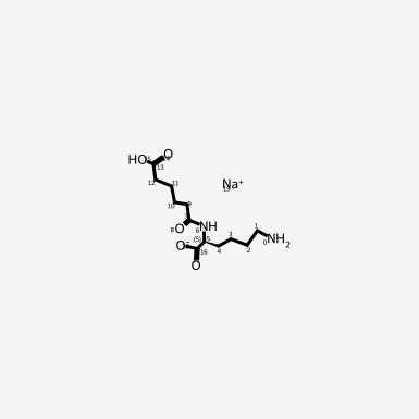 NCCCC[C@H](NC(=O)CCCCC(=O)O)C(=O)[O-].[Na+]